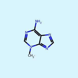 [CH2]n1cnc(N)c2ncnc1-2